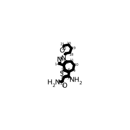 NC(=O)c1sc2c(c1N)CCCc1c-2cnn1C1CCCCO1